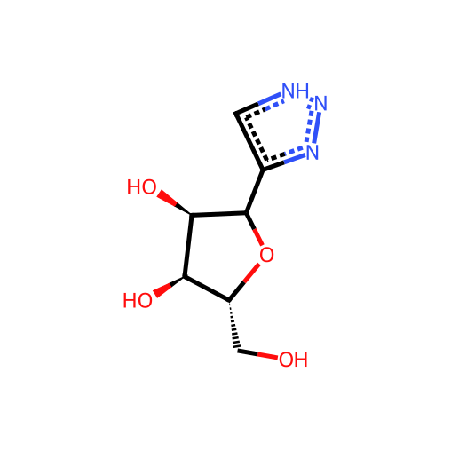 OC[C@H]1OC(c2c[nH]nn2)[C@H](O)[C@@H]1O